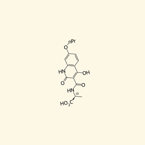 CCCOc1ccc2c(O)c(C(=O)N[C@@H](C)C(=O)O)c(=O)[nH]c2c1